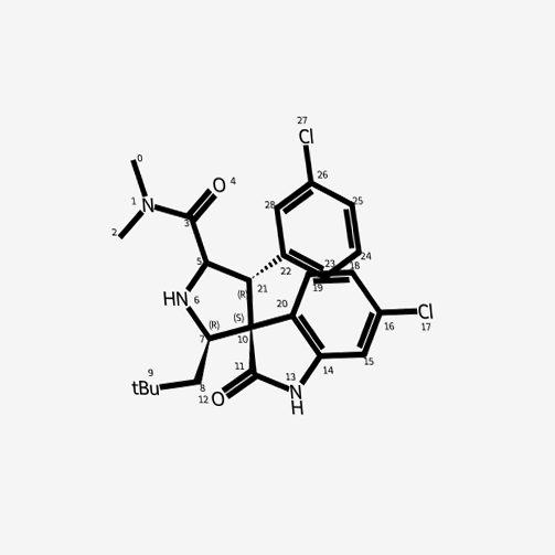 CN(C)C(=O)C1N[C@H](CC(C)(C)C)[C@]2(C(=O)Nc3cc(Cl)ccc32)[C@H]1c1cccc(Cl)c1